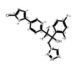 OC(Cn1cnnn1)(c1ccc(F)cc1F)C(F)(F)c1ccc(-c2ccc(Cl)s2)cn1